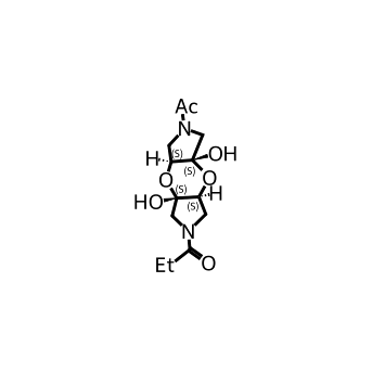 CCC(=O)N1C[C@@H]2O[C@@]3(O)CN(C(C)=O)C[C@@H]3O[C@@]2(O)C1